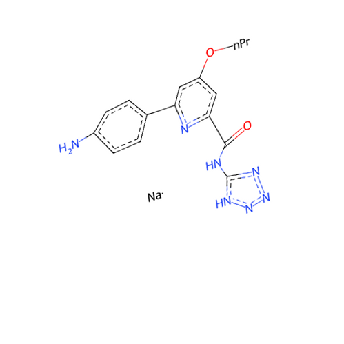 CCCOc1cc(C(=O)Nc2nnn[nH]2)nc(-c2ccc(N)cc2)c1.[Na]